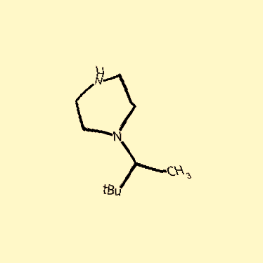 CC(N1CCNCC1)C(C)(C)C